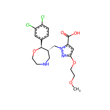 COCCOc1cc(C(=O)O)n(C[C@@H]2CNCCO[C@H]2c2ccc(Cl)c(Cl)c2)n1